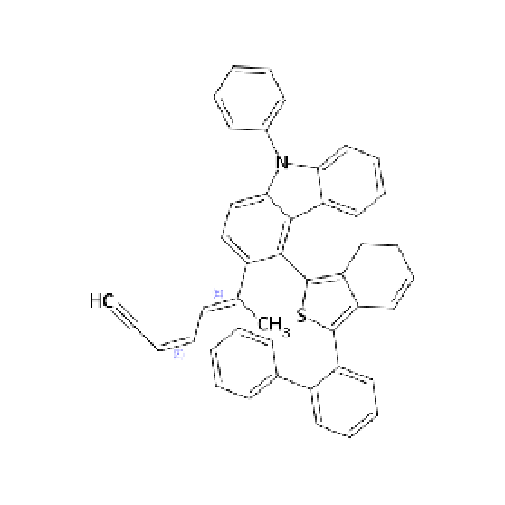 C#C/C=C\C=C(/C)c1ccc2c(c1-c1sc(-c3ccccc3-c3ccccc3)c3c1CCC=C3)c1ccccc1n2-c1ccccc1